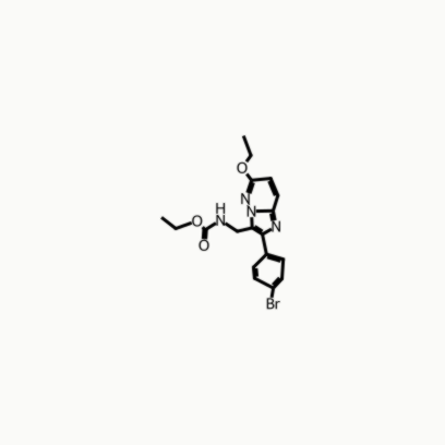 CCOC(=O)NCc1c(-c2ccc(Br)cc2)nc2ccc(OCC)nn12